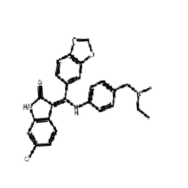 CCN(C)Cc1ccc(NC(=C2C(=O)Nc3cc(Cl)ccc32)c2ccc3c(c2)OCO3)cc1